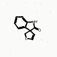 O=C1Nc2ccccc2C12C=COC2